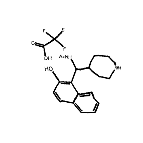 CC(=O)NC(c1c(O)ccc2ccccc12)C1CCNCC1.O=C(O)C(F)(F)F